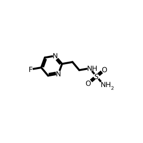 NS(=O)(=O)NCCc1ncc(F)cn1